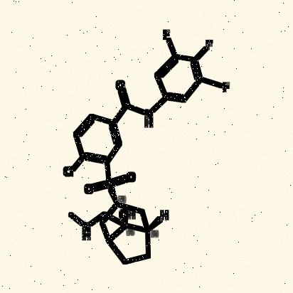 CNC[C@@]1(O)C2CC[C@H]1C[C@H](S(=O)(=O)c1cc(C(=O)Nc3cc(F)c(F)c(F)c3)ccc1Cl)C2